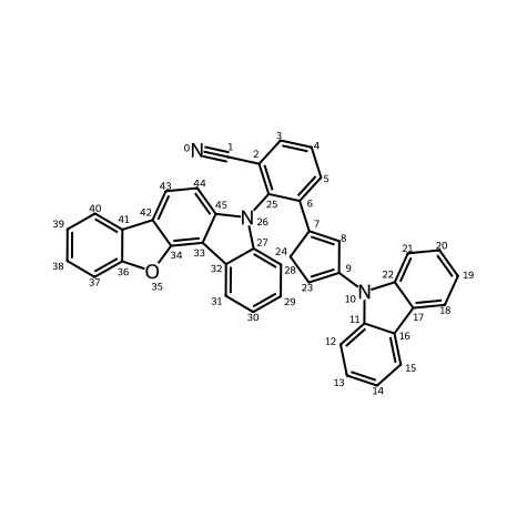 N#Cc1cccc(C2=CC(n3c4ccccc4c4ccccc43)=CC2)c1-n1c2ccccc2c2c3oc4ccccc4c3ccc21